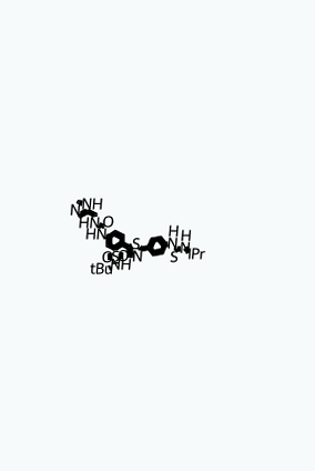 CC(C)NC(=S)Nc1ccc(-c2ncc(-c3ccc(NC(=O)NCc4cnc[nH]4)cc3S(=O)(=O)NC(C)(C)C)s2)cc1